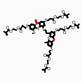 C=C(C)C(=O)OCCOC(=O)CCSc1cc(C)c(Sc2c(C)cc(SCCC(=O)OCCOC(=O)C(=C)C)cc2CCSc2cc(SCCC(=O)OCCOC(=O)C(=C)C)cc(SC)c2Sc2c(SC)cc(SCCC(=O)OCCOC(=O)C(=C)C)cc2SC)c(C)c1